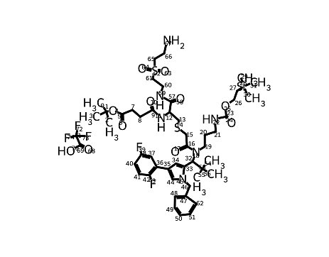 CC(C)(C)OC(=O)CCC(=O)NC(CSCC(=O)N(CCCNC(=O)OCC[Si](C)(C)C)C(c1cc(-c2cc(F)ccc2F)cn1Cc1ccccc1)C(C)(C)C)C(=O)NCCS(=O)(=O)CCN.O=C(O)C(F)(F)F